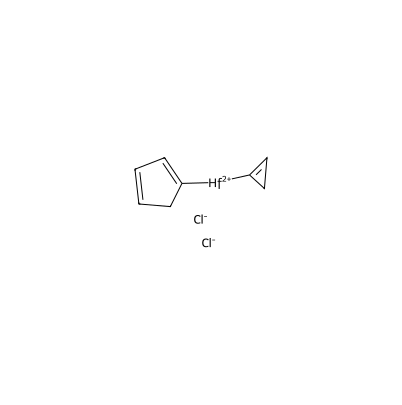 C1=CC[C]([Hf+2][C]2=CC2)=C1.[Cl-].[Cl-]